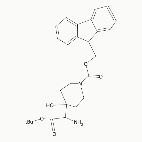 CC(C)(C)OC(=O)C(N)C1(O)CCN(C(=O)OCC2c3ccccc3-c3ccccc32)CC1